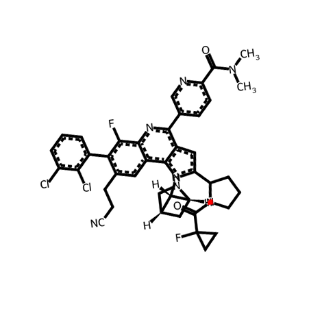 CN(C)C(=O)c1ccc(-c2nc3c(F)c(-c4cccc(Cl)c4Cl)c(CCC#N)cc3c3c2cc(C2CCCN2C(=O)C2(F)CC2)n3[C@H]2[C@H]3CN[C@@H]2C3)cn1